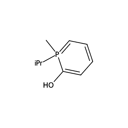 CC(C)P1(C)=CC=CC=C1O